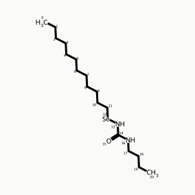 CCCCCCCCCCCC[Se]NC(=O)NCCCC